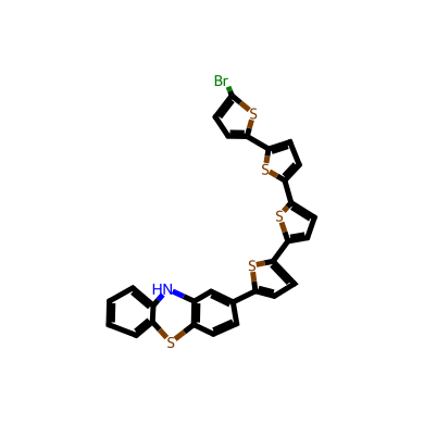 Brc1ccc(-c2ccc(-c3ccc(-c4ccc(-c5ccc6c(c5)Nc5ccccc5S6)s4)s3)s2)s1